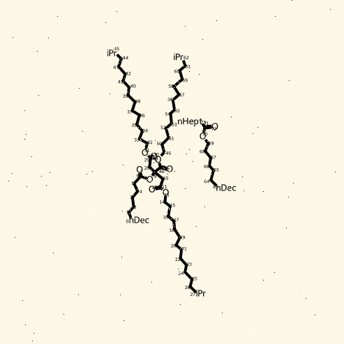 CCCCCCCCCCCCCCCC(=O)OC(CC(=O)OCCCCCCCCCCCCCC(C)C)(CC(=O)OCCCCCCCCCCCCCC(C)C)C(=O)OCCCCCCCCCCCCCC(C)C.CCCCCCCCCCCCCCCCOC(=O)CCCCCCC